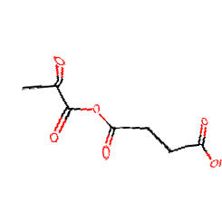 CC(=O)C(=O)OC(=O)CCC(=O)O